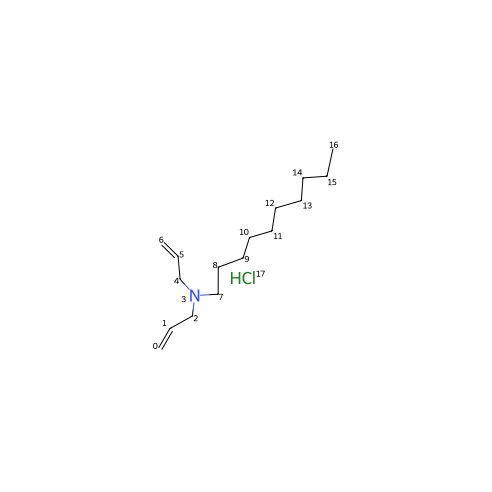 C=CCN(CC=C)CCCCCCCCCC.Cl